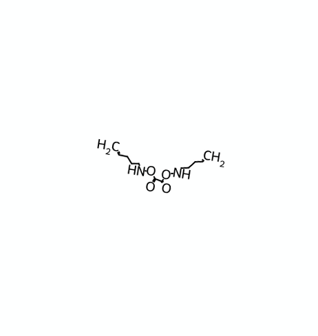 C=CCCCNOC(=O)C(=O)ONCCCC=C